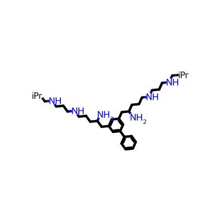 CC(C)CNCCCNCCCC(N)Cc1cc(CC(N)CCCNCCCNCC(C)C)cc(-c2ccccc2)c1